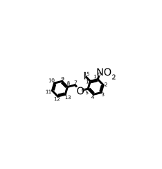 O=[N+]([O-])c1cccc(OCc2ccccc2)c1I